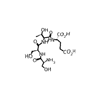 C[C@@H](O)[C@H](NC(=O)[C@H](CO)NC(=O)[C@@H](N)CO)C(=O)N[C@@H](CCC(=O)O)C(=O)O